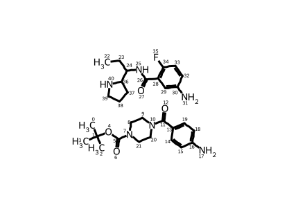 CC(C)(C)OC(=O)N1CCN(C(=O)c2ccc(N)cc2)CC1.CCC(NC(=O)c1cc(N)ccc1F)C1CCCN1